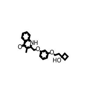 Cc1c(COc2cccc(OCCC3(O)CCC3)c2)[nH]c2ccccc2c1=O